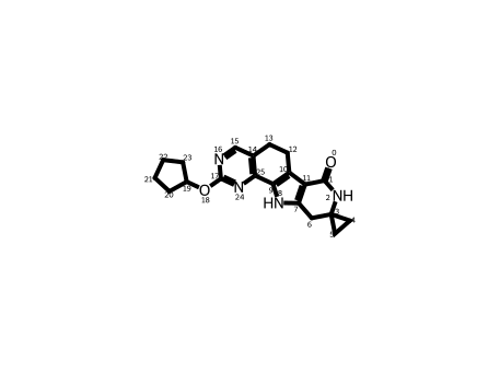 O=C1NC2(CC2)Cc2[nH]c3c(c21)CCc1cnc(OC2CCCC2)nc1-3